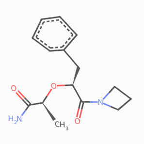 C[C@H](O[C@@H](Cc1ccccc1)C(=O)N1CCC1)C(N)=O